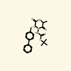 CC(C)C(=O)N(NC(=O)OC(C)(C)C)[C@H](Cc1ccc(-c2ccccc2)cc1)C(=O)O